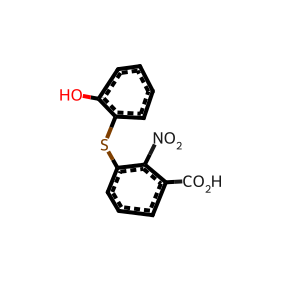 O=C(O)c1cccc(Sc2ccccc2O)c1[N+](=O)[O-]